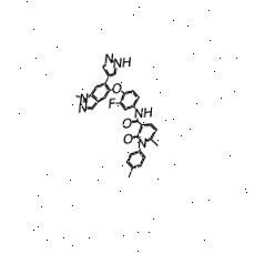 Cc1ccc(-n2c(C)ccc(C(=O)Nc3ccc(Oc4cc5cnn(C)c5cc4-c4cn[nH]c4)c(F)c3)c2=O)cc1